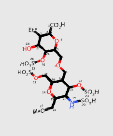 CCC1C(C(=O)O)OC(COCC2C(COS(=O)(=O)O)OC(COC)C(NS(=O)(=O)O)C2OS(=O)(=O)O)C(OS(=O)(=O)O)C1O